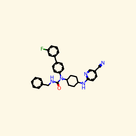 N#Cc1ccc(NC2CCC(N(C(=O)NCc3ccccc3)c3ccc(-c4cccc(F)c4)cc3)CC2)nc1